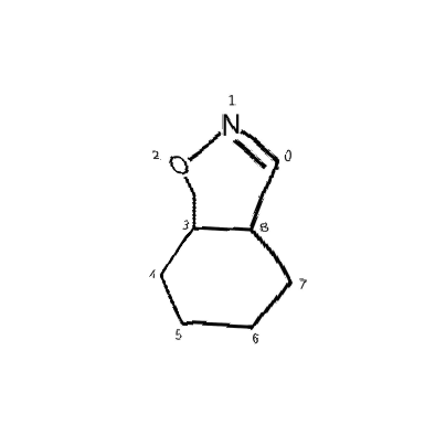 [C]1=NOC2CCCCC12